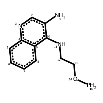 Nc1cnc2ccccc2c1NCCOP